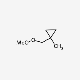 COOCC1(C)CC1